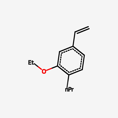 C=Cc1ccc(CCC)c(OCC)c1